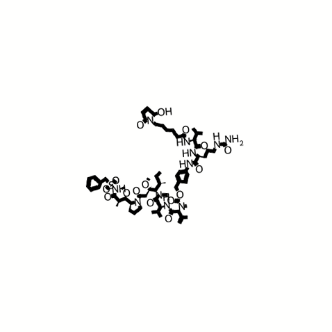 C=C(C)[C@@H](C(=O)N[C@H](C(=O)N(C)[C@@H]([C@@H](C)CC)[C@@H](CC(=O)N1CCC[C@H]1[C@H](OC)[C@@H](C)C(=O)NS(=O)(=O)Cc1ccccc1)OC)C(C)C)N(C)C(=O)OCc1ccc(NC(=O)[C@H](CCCNC(N)=O)NC(=O)[C@@H](NC(=O)CCCCCN2C(=O)C=CC2O)C(C)C)cc1